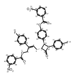 O=C(OC/C(=C\C[C@H]1C(=O)N(c2ccc(F)cc2)[C@@H]1c1ccc(OC(=O)c2cccc([N+](=O)[O-])c2)cc1)c1ccc(F)cc1)c1cccc([N+](=O)[O-])c1